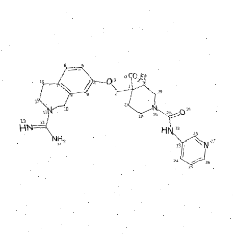 CCOC(=O)C1(COc2ccc3c(c2)CN(C(=N)N)CC3)CCN(C(=O)Nc2cccnc2)CC1